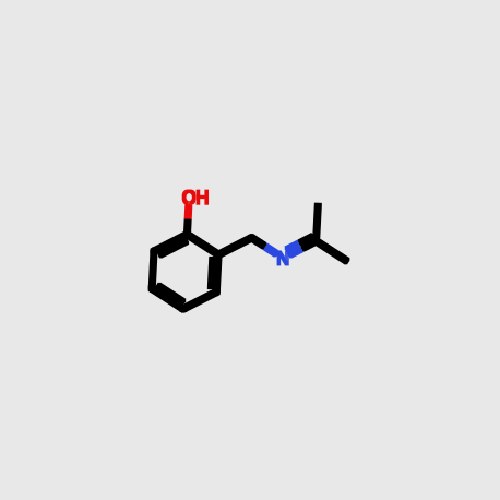 CC(C)=NCc1ccccc1O